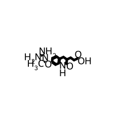 CC(N=C(N)N)Oc1ccc2c(c1)NC(=O)C(CCC(=O)O)C2